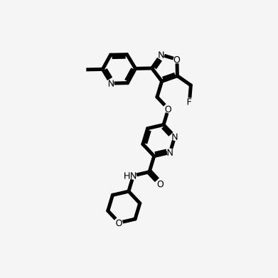 Cc1ccc(-c2noc(CF)c2COc2ccc(C(=O)NC3CCOCC3)nn2)cn1